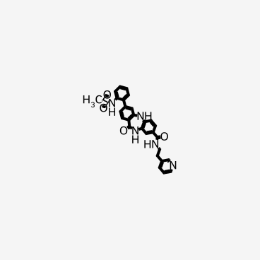 CS(=O)(=O)Nc1ccccc1-c1ccc2c(c1)Nc1ccc(C(=O)NCCc3cccnc3)cc1NC2=O